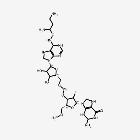 NCCC(N)ONC1NC=NC2=C1NCN2[C@@H]1O[C@H](COPOC2C(F)[C@H](N3CNC4=C3NC(N)NC4=O)O[C@@H]2COP)C(O)C1O